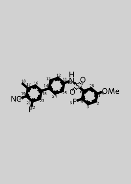 COc1ccc(F)c(S(=O)(=O)Nc2ccc(-c3cc(C)c(C#N)c(F)c3)cc2)c1